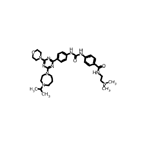 CC(C)N1CCCN(c2nc(-c3ccc(NC(=O)Nc4ccc(C(=O)NCCN(C)C)cc4)cc3)nc(N3CCOCC3)n2)CC1